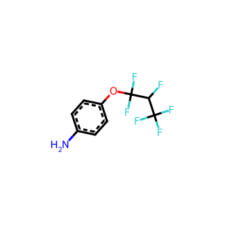 Nc1ccc(OC(F)(F)C(F)C(F)(F)F)cc1